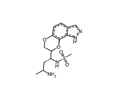 CC(N)CC(NS(C)(=O)=O)C1COc2ccc3cn[nH]c3c2O1